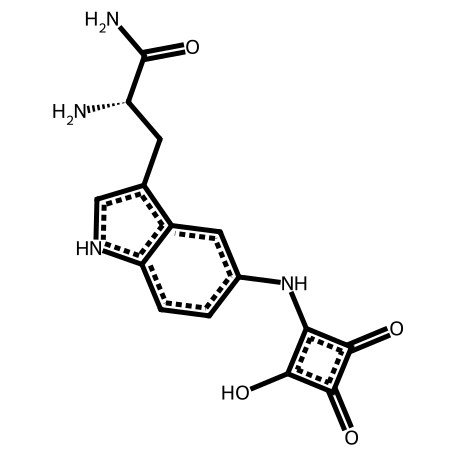 NC(=O)[C@@H](N)Cc1c[nH]c2ccc(Nc3c(O)c(=O)c3=O)cc12